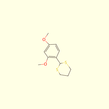 COc1ccc(C2SCCCS2)c(OC)c1